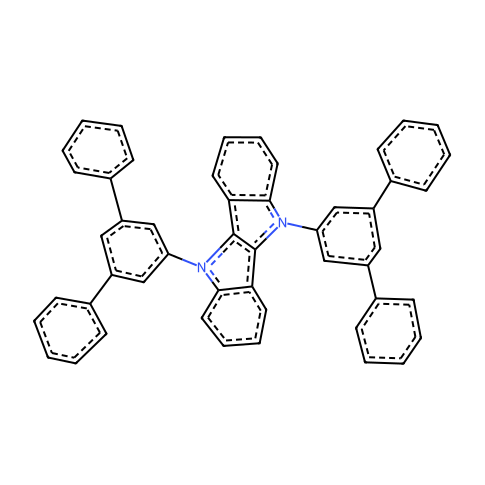 c1ccc(-c2cc(-c3ccccc3)cc(-n3c4ccccc4c4c3c3ccccc3n4-c3cc(-c4ccccc4)cc(-c4ccccc4)c3)c2)cc1